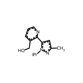 Cc1cc(-c2ncccc2CO)n(C(C)C)n1